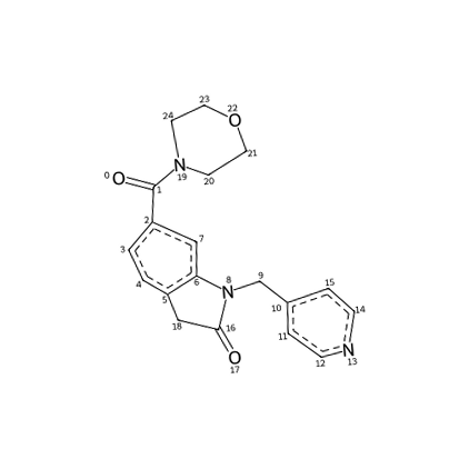 O=C(c1ccc2c(c1)N(Cc1ccncc1)C(=O)C2)N1CCOCC1